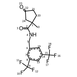 CC1(C(=O)NCc2cc(C(F)(F)F)cc(C(F)(F)F)c2)CCC(=O)C1